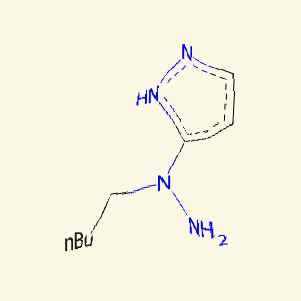 CCCCCN(N)c1ccn[nH]1